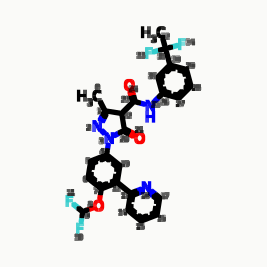 CC1=NN(c2ccc(OC(F)F)c(-c3ccccn3)c2)C(=O)C1C(=O)Nc1cccc(C(C)(F)F)c1